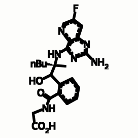 CCCC[C@@](C)(Nc1nc(N)nc2cc(F)cnc12)C(O)c1ccccc1C(=O)NCC(=O)O